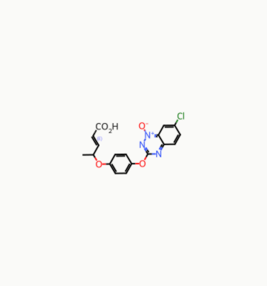 CC(/C=C/C(=O)O)Oc1ccc(Oc2nc3ccc(Cl)cc3[n+]([O-])n2)cc1